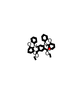 CCOC(=O)c1cc(C(=O)OCC)c(N2c3ccccc3Oc3ccccc32)cc1N1c2ccccc2Oc2ccccc21